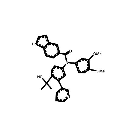 COc1ccc(N(C(=O)c2ccc3[nH]ccc3c2)c2ccc(C(C)(C)C#N)c(-c3cccnc3)c2)cc1OC